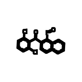 O=Pc1c(C(=O)c2c(Cl)cccc2Cl)ccc2ccccc12